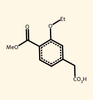 CCOc1cc(CC(=O)O)ccc1C(=O)OC